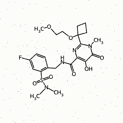 COCCOC1(c2nc(C(=O)NCc3ccc(F)cc3S(=O)(=O)N(C)C)c(O)c(=O)n2C)CCC1